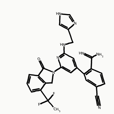 CC(F)(F)c1cccc2c1CN(c1cc(-c3cc(C#N)ccc3C(=N)N)cc(NCc3c[nH]cn3)n1)C2=O